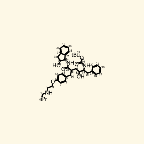 CC(C)CNCCOc1ccc(CC(CC(O)C(Cc2ccccc2)NC(=O)OC(C)(C)C)C(=O)N[C@H]2c3ccccc3C[C@@H]2O)cc1